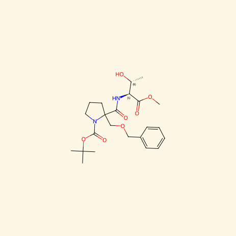 COC(=O)[C@@H](NC(=O)C1(COCc2ccccc2)CCCN1C(=O)OC(C)(C)C)[C@@H](C)O